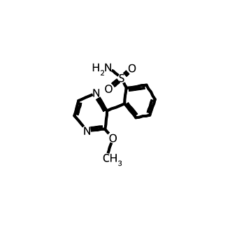 COc1nccnc1-c1ccccc1S(N)(=O)=O